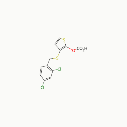 O=C(O)Oc1sccc1SCc1ccc(Cl)cc1Cl